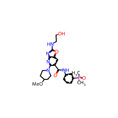 COC1CCN(c2nc3nc(NCCO)oc3cc2C(=O)Nc2cccc(P(C)(C)=O)c2)CC1